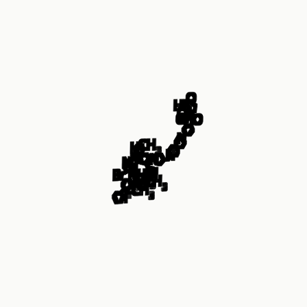 COc1cc(N2CCC(CN3CCC4(CC3)CCN(c3ccc5c(c3)C(=O)N(C3CCC(=O)NC3=O)C5=O)CC4)CC2)c(-c2cnn(C)c2)cc1Nc1ncc(Br)c(Nc2ccc(-c3ccccc3F)cc2P(C)(C)=O)n1